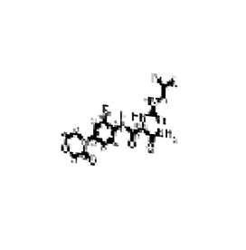 NC(=O)[C@@H](NC(=O)NCC(F)F)C(=O)Nc1ccc(N2CCOCC2=O)cc1F